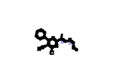 C=N/C=N\C=C(/C)c1nc(Cl)c(C#N)c(-c2ccccc2)n1